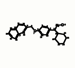 [O][N]C(c1ccc(OCc2ccc3ccccc3n2)nc1)C1CCCCC1